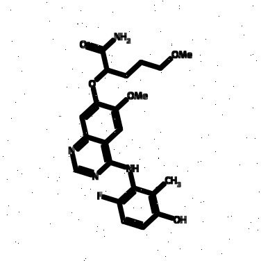 COCCCC(Oc1cc2ncnc(Nc3c(F)ccc(O)c3C)c2cc1OC)C(N)=O